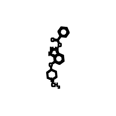 CN1CCC(Oc2cccc3c2nnn3OC(=O)c2ccccc2)CC1